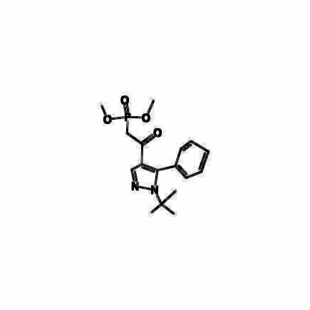 COP(=O)(CC(=O)c1cnn(C(C)(C)C)c1-c1ccccc1)OC